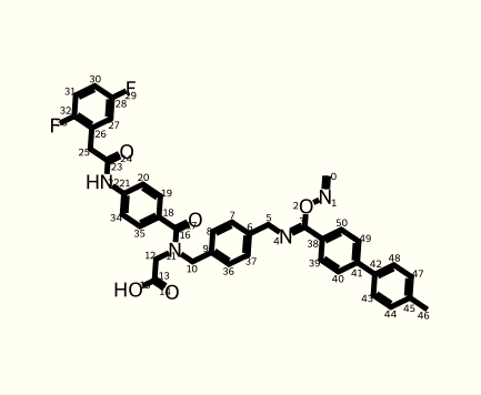 C=NO/C(=N\Cc1ccc(CN(CC(=O)O)C(=O)c2ccc(NC(=O)Cc3cc(F)ccc3F)cc2)cc1)c1ccc(-c2ccc(C)cc2)cc1